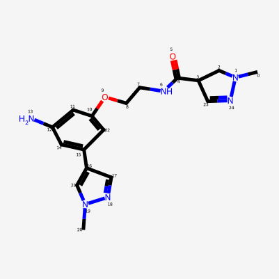 CN1CC(C(=O)NCCOc2cc(N)cc(-c3cnn(C)c3)c2)C=N1